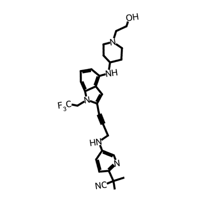 CC(C)(C#N)c1ccc(NCC#Cc2cc3c(NC4CCN(CCO)CC4)cccc3n2CC(F)(F)F)cn1